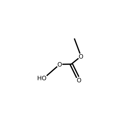 COC(=O)OO